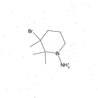 CC1(Br)CC[CH2][Bi]([NH3+])[C]1(C)C